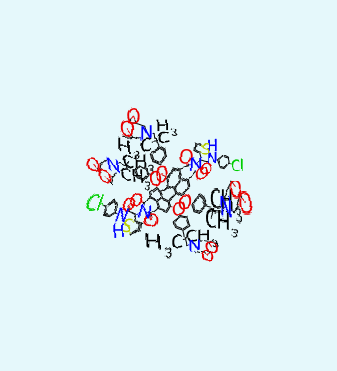 CC(C)(CN(CC1CO1)CC1CO1)c1ccc(Oc2cc3c4c(cc(Oc5ccc(C(C)(C)CN(CC6CO6)CC6CO6)cc5)c5c6c(Oc7ccc(C(C)(C)CN(CC8CO8)CC8CO8)cc7)cc7c8c(cc(Oc9ccc(C(C)(C)CN(CC%10CO%10)CC%10CO%10)cc9)c(c2c45)c86)C(=O)N(C(C(=O)Nc2ccc(Cl)cc2)c2cccs2)C7=O)C(=O)N(C(C(=O)Nc2ccc(Cl)cc2)c2cccs2)C3=O)cc1